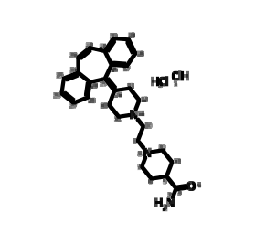 Cl.Cl.NC(=O)C1CCN(CCN2CCC(=C3c4ccccc4C=Cc4ccccc43)CC2)CC1